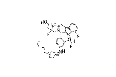 C[C@@H]1Cc2c([nH]c3c(F)cccc23)C(c2ccc(N[C@H]3CCN(CCCF)C3)cc2OC(F)F)N1CC(F)(F)CCO